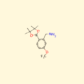 CC1(C)OB(c2ccc(OC(F)(F)F)cc2CN)OC1(C)C